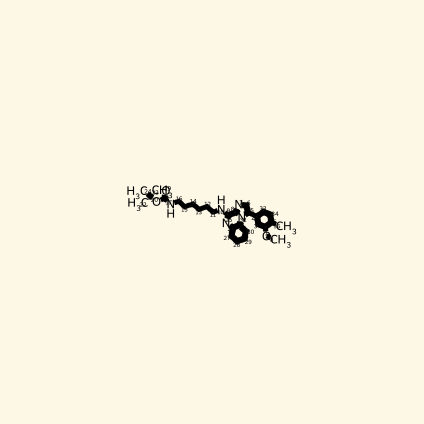 COc1cc(-c2cnc3c(NCCCCCCNC(=O)OC(C)(C)C)nc4ccccc4n23)ccc1C